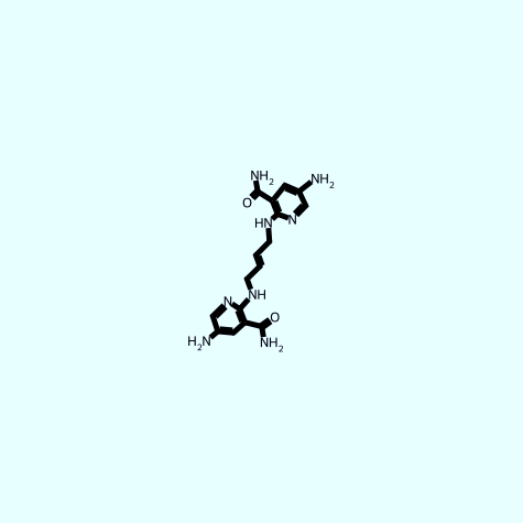 NC(=O)c1cc(N)cnc1NCC=CCNc1ncc(N)cc1C(N)=O